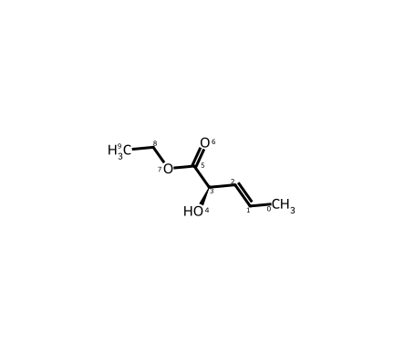 C/C=C/[C@@H](O)C(=O)OCC